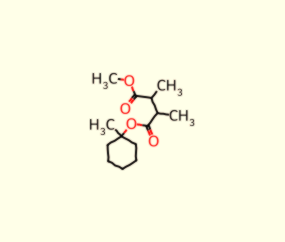 COC(=O)C(C)C(C)C(=O)OC1(C)CCCCC1